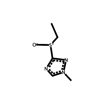 CC[S+]([O-])c1ncn(C)n1